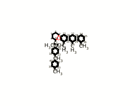 C[SiH](C)C1CCCCO1.Cc1cc[c]cc1.Cc1cc[c]cc1.Cc1cc[c]cc1.Cc1cc[c]cc1.Cc1cc[c]cc1